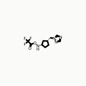 O=C(ON[C@H]1CC[C@@H](Cn2cncn2)C1)C(F)(F)F